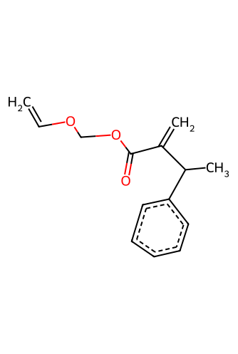 C=COCOC(=O)C(=C)C(C)c1ccccc1